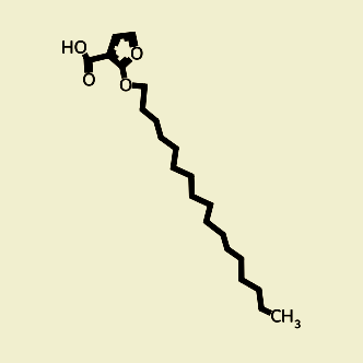 CCCCCCCCCCCCCCCCCOc1occc1C(=O)O